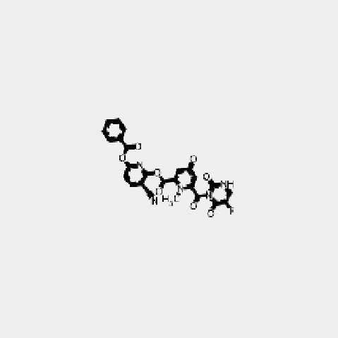 Cn1c(C(=O)Oc2nc(OC(=O)c3ccccc3)ccc2C#N)cc(=O)cc1C(=O)n1c(=O)[nH]cc(F)c1=O